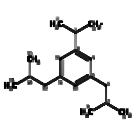 [CH2]C(C)c1cc(CC(C)C)cc(CC(C)C)c1